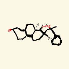 CCC1[C@@H]2CCC3=CC(=O)CCC3=C2CCC1(CC)C(C)(O)c1ccccc1